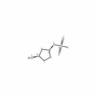 CC(=O)O[C@@H]1CC[C@H](OS(C)(=O)=O)C1